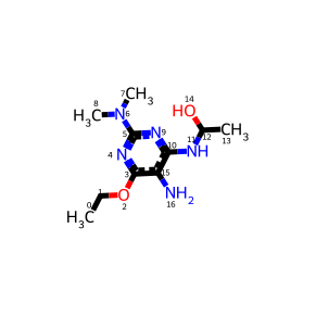 CCOc1nc(N(C)C)nc(NC(C)O)c1N